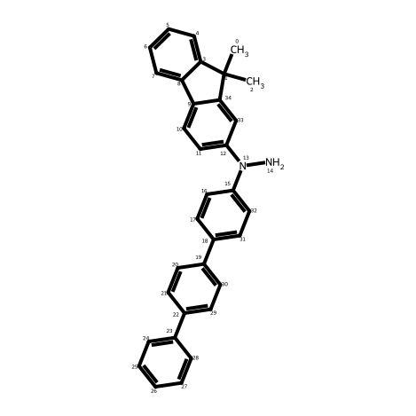 CC1(C)c2ccccc2-c2ccc(N(N)c3ccc(-c4ccc(-c5ccccc5)cc4)cc3)cc21